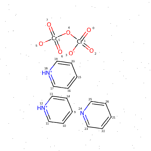 [O]=[Cr](=[O])([O-])[O][Cr](=[O])(=[O])[O-].c1cc[nH+]cc1.c1cc[nH+]cc1.c1ccncc1